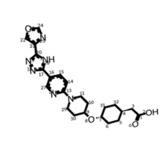 O=C(O)C[C@H]1CC[C@H](OC2CCN(c3ccc(-c4nnc(-c5cocn5)[nH]4)cn3)CC2)CC1